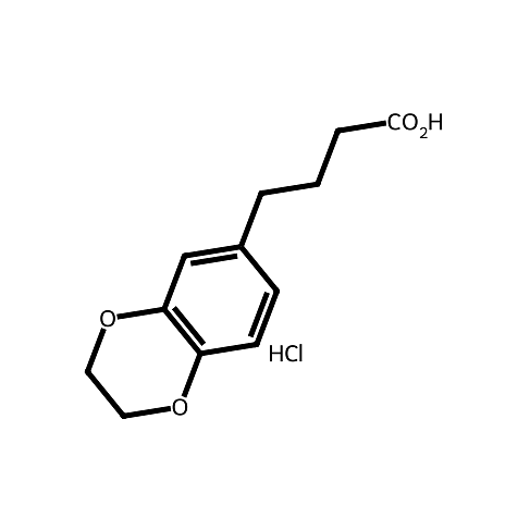 Cl.O=C(O)CCCc1ccc2c(c1)OCCO2